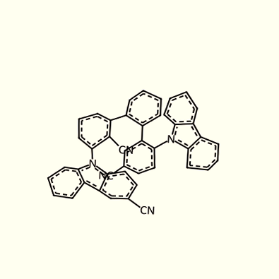 N#Cc1ccc(-n2c3ccccc3c3ccccc32)c(-c2ccccc2-c2cccc(-n3c4ccccc4c4cc(C#N)ccc43)c2C#N)c1